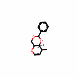 CC1C=COC2COC(c3ccccc3)O[C@@H]12